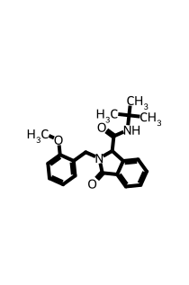 COc1ccccc1CN1C(=O)c2ccccc2C1C(=O)NC(C)(C)C